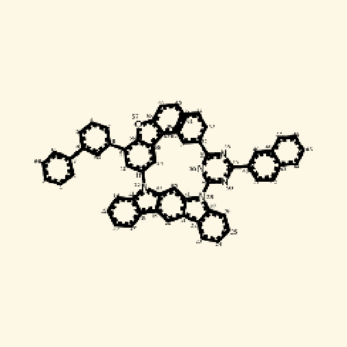 c1ccc(-c2cccc(-c3cc(-n4c5ccccc5c5cc6c7ccccc7n(-c7nc(-c8ccccc8)nc(-c8ccc9ccccc9c8)n7)c6cc54)cc4c3oc3ccccc34)c2)cc1